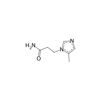 Cc1cncn1CCC(N)=O